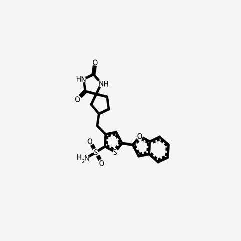 NS(=O)(=O)c1sc(-c2cc3ccccc3o2)cc1CC1CCC2(C1)NC(=O)NC2=O